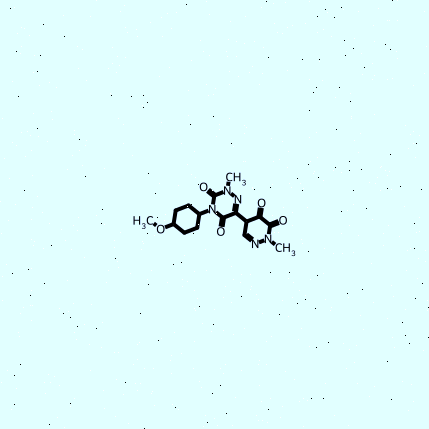 COC1CCC(n2c(=O)c(C3C=NN(C)C(=O)C3=O)nn(C)c2=O)CC1